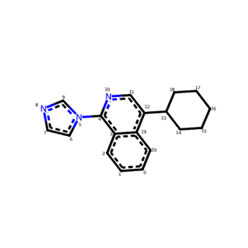 c1ccc2c(-n3ccnc3)ncc(C3CCCCC3)c2c1